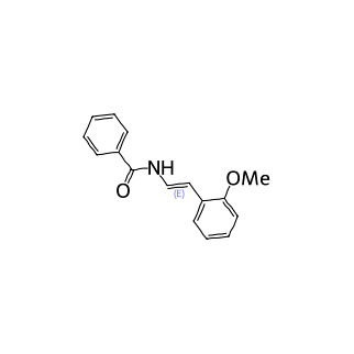 COc1ccccc1/C=C/NC(=O)c1ccccc1